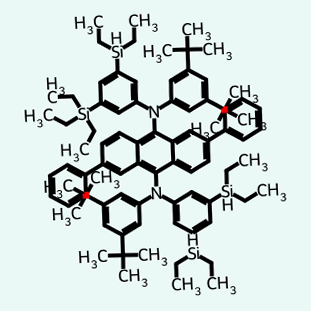 CC[SiH](CC)c1cc(N(c2cc(C(C)(C)C)cc(C(C)(C)C)c2)c2c3ccc(-c4ccccc4)cc3c(N(c3cc(C(C)(C)C)cc(C(C)(C)C)c3)c3cc([SiH](CC)CC)cc([Si](CC)(CC)CC)c3)c3ccc(-c4ccccc4)cc23)cc([SiH](CC)CC)c1